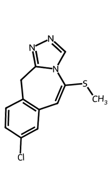 CSC1=Cc2cc(Cl)ccc2Cc2nncn21